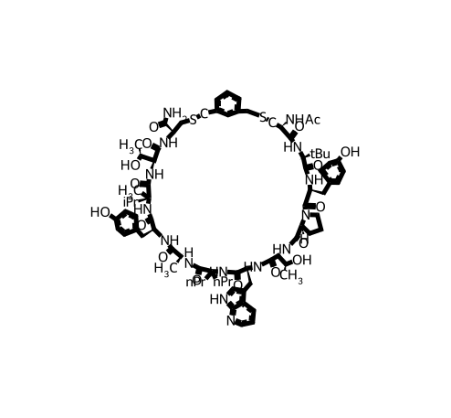 CCCC1(CCC)NC(=O)[C@H](Cc2c[nH]c3ncccc23)NC(=O)[C@H]([C@@H](C)O)NC(=O)[C@@H]2CCCN2C(=O)[C@H](Cc2ccc(O)cc2)NC(=O)[C@H](C(C)(C)C)NC(=O)[C@@H](NC(C)=O)CSCc2cccc(c2)CSC[C@H](C(N)=O)NC(=O)[C@H]([C@@H](C)O)NC(=O)[C@](C)(C(C)C)NC(=O)[C@H](Cc2ccc(O)cc2)NC(=O)[C@H](C)NC1=O